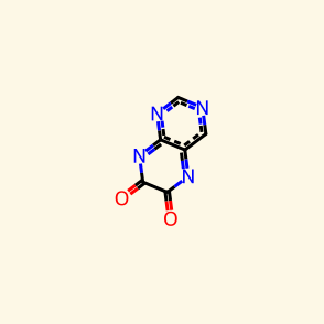 O=C1N=c2cncnc2=NC1=O